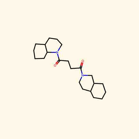 O=C(CCC(=O)N1CCCC2CCCCC21)N1CCC2CCCCC2C1